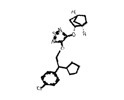 Clc1ccc(C(COc2nsnc2O[C@@H]2C[C@H]3CC[C@@H]2C3)C2CCCC2)cc1